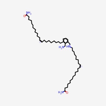 NCc1c(CCCCCCCC/C=C\CCCCCCCCCCCC(N)=O)cccc1CNCCCCCCCC/C=C\CCCCCCCCCCCC(N)=O